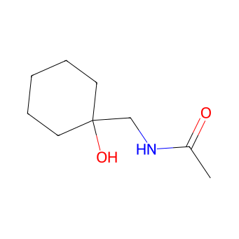 CC(=O)NCC1(O)CCCCC1